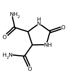 NC(=O)C1NC(=O)NC1C(N)=O